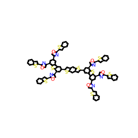 c1ccc2sc(-c3coc(-c4cc(-c5coc(-c6cc7ccccc7s6)n5)c5sc6c(-c7coc(-c8cc9ccccc9s8)n7)cc(-c7cc8cc9sc(-c%10cc(-c%11coc(-c%12cc%13ccccc%13s%12)n%11)c%11sc%12c(-c%13coc(-c%14cc%15ccccc%15s%14)n%13)cc(-c%13coc(-c%14cc%15ccccc%15s%14)n%13)cc%12c%11c%10)cc9cc8s7)cc6c5c4)n3)cc2c1